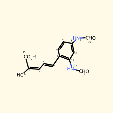 N#CC(=CC=Cc1ccc(NC=O)cc1NC=O)C(=O)O